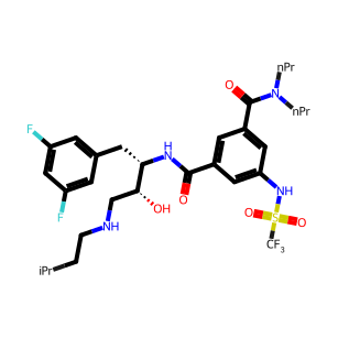 CCCN(CCC)C(=O)c1cc(NS(=O)(=O)C(F)(F)F)cc(C(=O)N[C@@H](Cc2cc(F)cc(F)c2)[C@H](O)CNCCC(C)C)c1